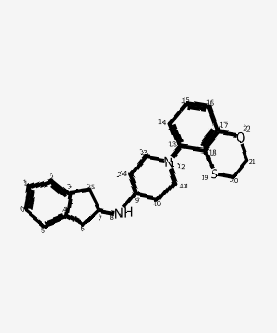 c1ccc2c(c1)CC(NC1CCN(c3cccc4c3SCCO4)CC1)C2